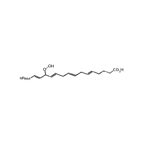 CCCCCC=CC(C=CCC=CCC=CCCCC(=O)O)OO